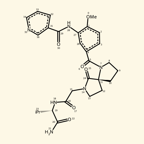 COc1ccc(C(=O)N2CCC[C@]23CCN(CC(=O)N[C@H](C(N)=O)C(C)C)C3=O)cc1NC(=O)c1cccnc1